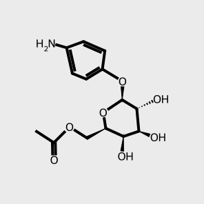 CC(=O)OC[C@H]1O[C@@H](Oc2ccc(N)cc2)[C@H](O)[C@@H](O)[C@H]1O